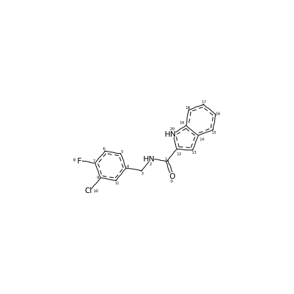 O=C(NCc1ccc(F)c(Cl)c1)c1cc2ccccc2[nH]1